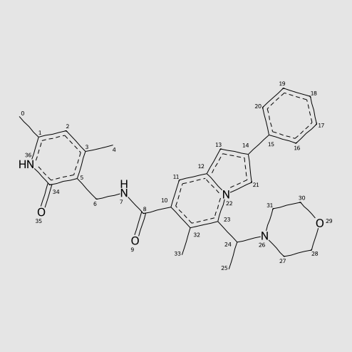 Cc1cc(C)c(CNC(=O)c2cc3cc(-c4ccccc4)cn3c(C(C)N3CCOCC3)c2C)c(=O)[nH]1